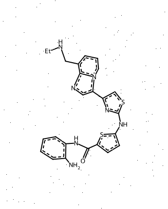 CCNCc1cccn2c(-c3csc(Nc4ccc(C(=O)Nc5ccccc5N)s4)n3)cnc12